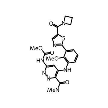 CNC(=O)c1nnc(NC(=O)OC)cc1Nc1cccc(-c2ncc(C(=O)N3CCC3)s2)c1OC